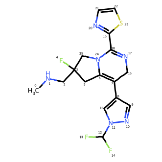 CNCC1(F)CC2=C(c3cnn(C(F)F)c3)CN=C(c3nccs3)N2C1